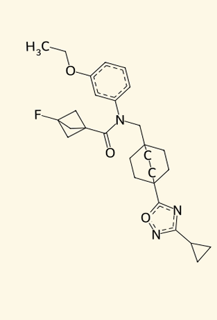 CCOc1cccc(N(CC23CCC(c4nc(C5CC5)no4)(CC2)CC3)C(=O)C23CC(F)(C2)C3)c1